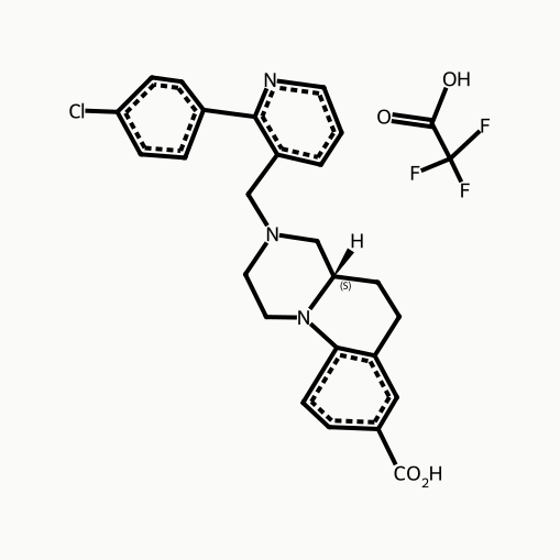 O=C(O)C(F)(F)F.O=C(O)c1ccc2c(c1)CC[C@H]1CN(Cc3cccnc3-c3ccc(Cl)cc3)CCN21